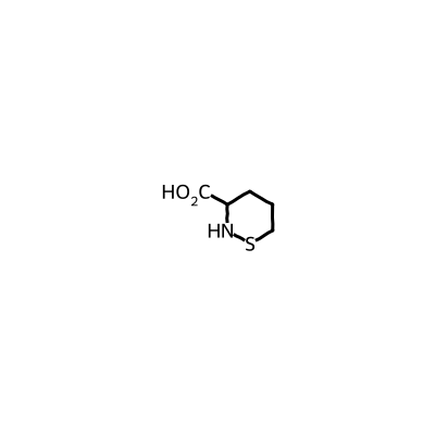 O=C(O)C1CCCSN1